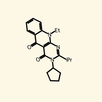 CCn1c2ccccc2c(=O)c2c(=O)n(C3CCCC3)c(C(C)C)nc21